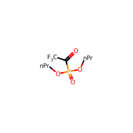 CCCOP(=O)(OCCC)C(=O)C(F)(F)F